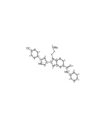 COCCn1c(-c2c[nH]c(-c3ccc(Cl)cc3)n2)nc2cc(C(=O)Nc3ccccn3)ccc21